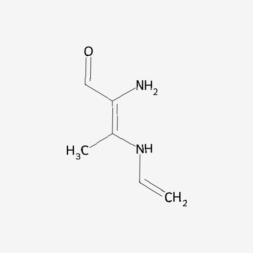 C=CN/C(C)=C(\N)C=O